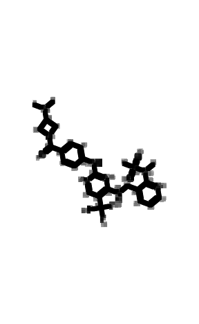 CN(C)C1CN(C(=O)c2ccc(Nc3ncc(C(F)(F)F)c(NCc4cccnc4N(C)S(C)(=O)=O)n3)cc2)C1